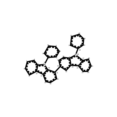 c1ccc(-n2c3ccccc3c3cccc(-c4ccc5c(c4)c4ccccc4p5-c4ccccc4)c32)cc1